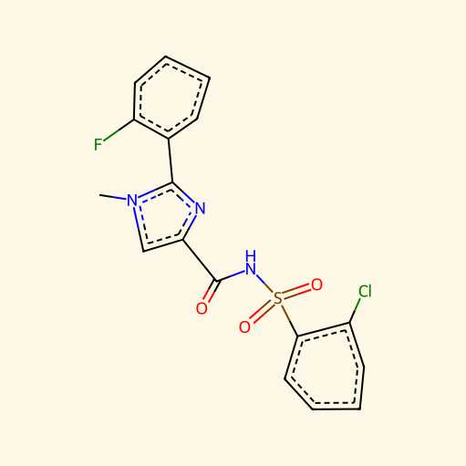 Cn1cc(C(=O)NS(=O)(=O)c2ccccc2Cl)nc1-c1ccccc1F